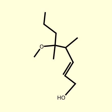 CCCC(C)(OC)C(C)/C=C/CO